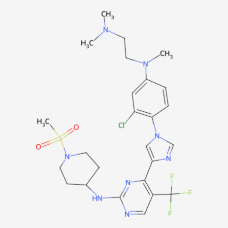 CN(C)CCN(C)c1ccc(-n2cnc(-c3nc(NC4CCN(S(C)(=O)=O)CC4)ncc3C(F)(F)F)c2)c(Cl)c1